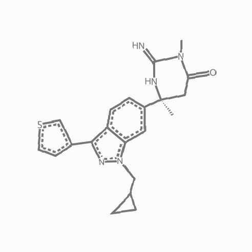 CN1C(=N)N[C@](C)(c2ccc3c(-c4ccsc4)nn(CC4CC4)c3c2)CC1=O